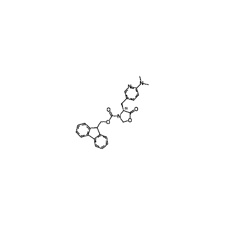 CN(C)c1ccc(C[C@H]2C(=O)OCN2C(=O)OCC2c3ccccc3-c3ccccc32)cn1